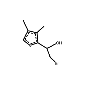 Cc1csc(C(O)CBr)c1C